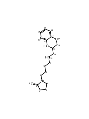 O=C1CCCN1CCCCNCC1COc2cccnc2O1